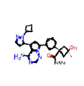 CNC(=O)[C@]1(c2cccc(-c3cc(-c4ccnn4C4CCC4)c4c(N)ncnn34)c2)C[C@@](C)(O)C1